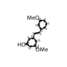 COc1cccc(C=Cc2cc(O)cc(OC)c2)c1